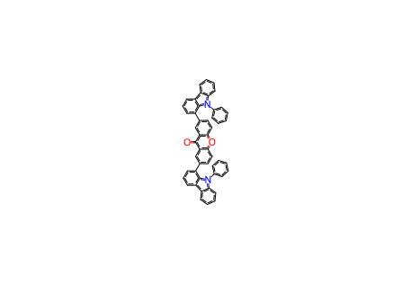 O=c1c2cc(-c3cccc4c5ccccc5n(-c5ccccc5)c34)ccc2oc2ccc(-c3cccc4c5ccccc5n(-c5ccccc5)c34)cc12